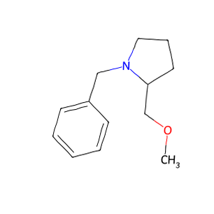 COCC1CCCN1Cc1ccccc1